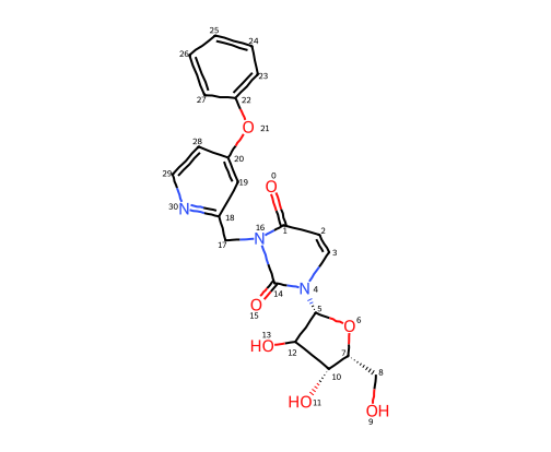 O=c1ccn([C@@H]2O[C@H](CO)[C@H](O)C2O)c(=O)n1Cc1cc(Oc2ccccc2)ccn1